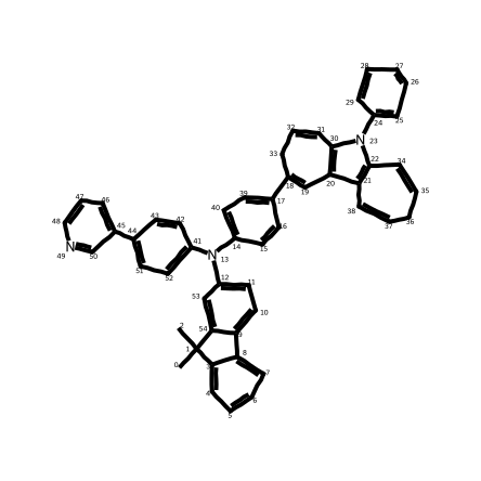 CC1(C)c2ccccc2-c2ccc(N(c3ccc(C4=Cc5c6c(n(-c7ccccc7)c5C=CC4)C=CCC=C6)cc3)c3ccc(-c4cccnc4)cc3)cc21